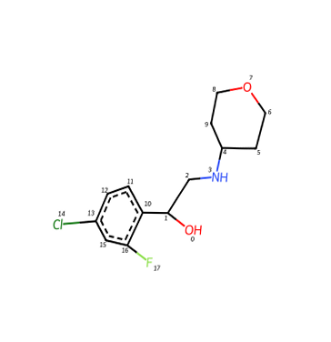 OC(CNC1CCOCC1)c1ccc(Cl)cc1F